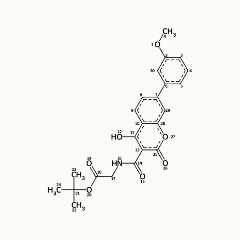 COc1cccc(-c2ccc3c(O)c(C(=O)NCC(=O)OC(C)(C)C)c(=O)oc3c2)c1